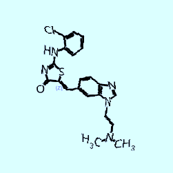 CN(C)CCn1cnc2ccc(/C=C3\SC(Nc4ccccc4Cl)=NC3=O)cc21